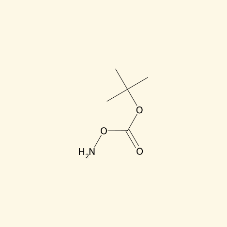 CC(C)(C)OC(=O)ON